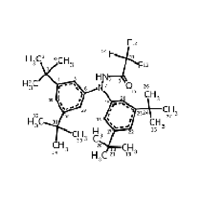 CC(C)(C)c1cc(N(NC(=O)C(F)(F)F)c2cc(C(C)(C)C)cc(C(C)(C)C)c2)cc(C(C)(C)C)c1